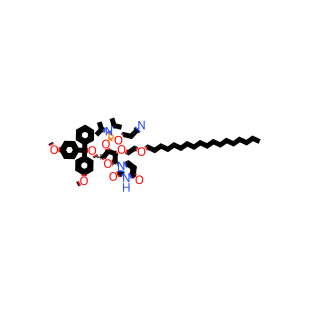 CCCCCCCCCCCCCCCCCCOCCOC1C(OP(OCCC#N)N(C(C)C)C(C)C)[C@@H](COC(c2ccccc2)(c2ccc(OC)cc2)c2ccc(OC)cc2)O[C@H]1n1ccc(=O)[nH]c1=O